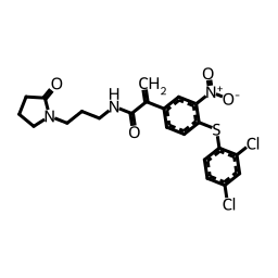 C=C(C(=O)NCCCN1CCCC1=O)c1ccc(Sc2ccc(Cl)cc2Cl)c([N+](=O)[O-])c1